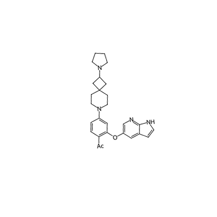 CC(=O)c1ccc(N2CCC3(CC2)CC(N2CCCC2)C3)cc1Oc1cnc2[nH]ccc2c1